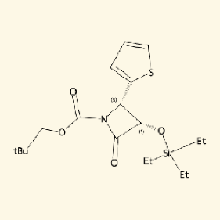 CC[Si](CC)(CC)O[C@@H]1C(=O)N(C(=O)OCC(C)(C)C)[C@@H]1c1cccs1